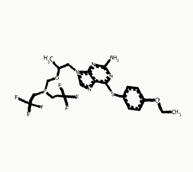 CCOc1ccc(Sc2nc(N)nc3c2ncn3CC(C)OCP(CC(F)(F)F)CC(F)(F)F)cc1